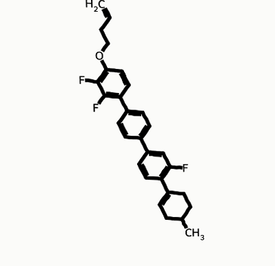 C=CCCOc1ccc(-c2ccc(-c3ccc(C4=CCC(C)CC4)c(F)c3)cc2)c(F)c1F